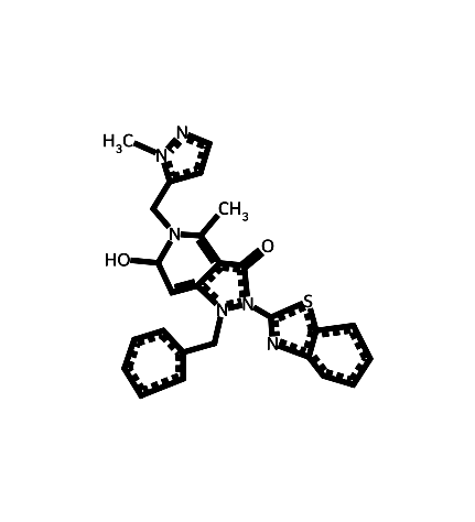 CC1=c2c(n(Cc3ccccc3)n(-c3nc4ccccc4s3)c2=O)=CC(O)N1Cc1ccnn1C